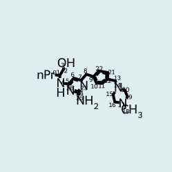 CCCC(CO)Nc1cc(Cc2ccc(CN3CCN(C)CC3)cc2)nc(N)n1